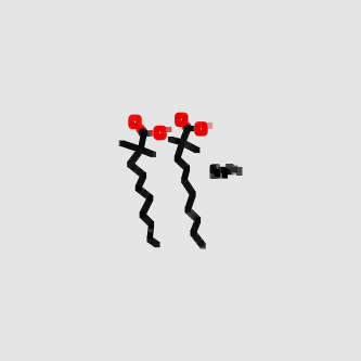 CCCCCCCCC(C)(C)C(=O)[O-].CCCCCCCCC(C)(C)C(=O)[O-].[Sn+2]